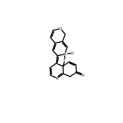 O=C1C=CC23C[N+]4([O-])C=C5COC=CC5=CC4=C2C=CN=C3C1